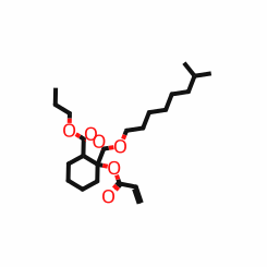 C=CC(=O)OC1(C(=O)OCCCCCCC(C)C)CCCCC1C(=O)OCCC